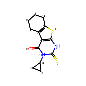 O=c1c2c3c(sc2[nH]c(=S)n1C1CC1)CCCC3